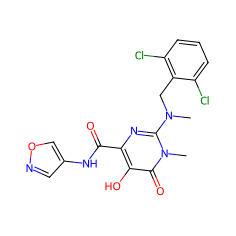 CN(Cc1c(Cl)cccc1Cl)c1nc(C(=O)Nc2cnoc2)c(O)c(=O)n1C